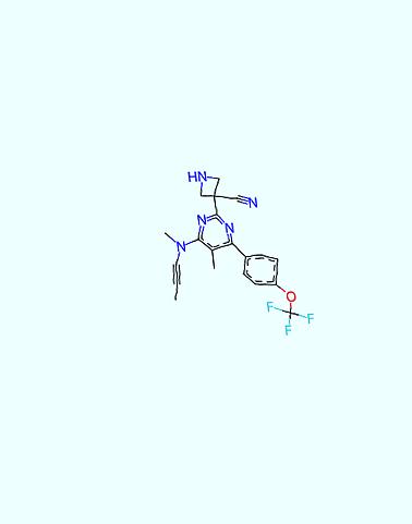 CC#CN(C)c1nc(C2(C#N)CNC2)nc(-c2ccc(OC(F)(F)F)cc2)c1C